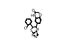 O=C1COc2ccc(C3=Nn4cnnc4SC3c3ccccc3Cl)cc2N1